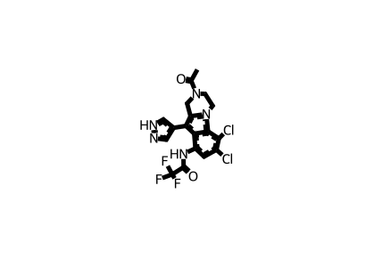 CC(=O)N1CCn2c(c(-c3cn[nH]c3)c3c(NC(=O)C(F)(F)F)cc(Cl)c(Cl)c32)C1